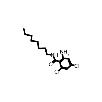 CCCCCCCCNC(=O)c1c(N)cc(Cl)cc1Cl